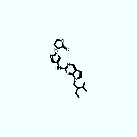 CCC(Cn1ccc2cnc(Nc3cnn([C@@H]4CCOC4=O)c3)nc21)C(C)C